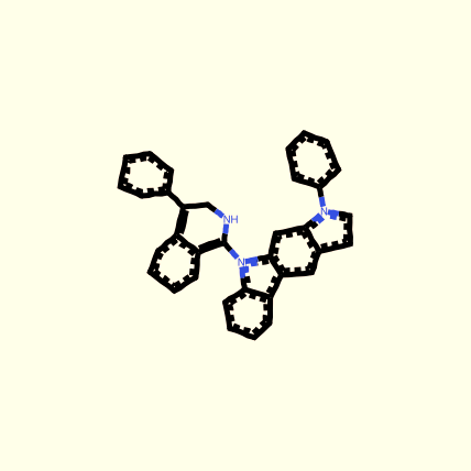 c1ccc(C2=c3ccccc3=C(n3c4ccccc4c4cc5ccn(-c6ccccc6)c5cc43)NC2)cc1